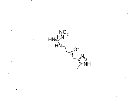 Cc1[nH]cnc1C[S+]([O-])CCNC(=N)N[N+](=O)[O-]